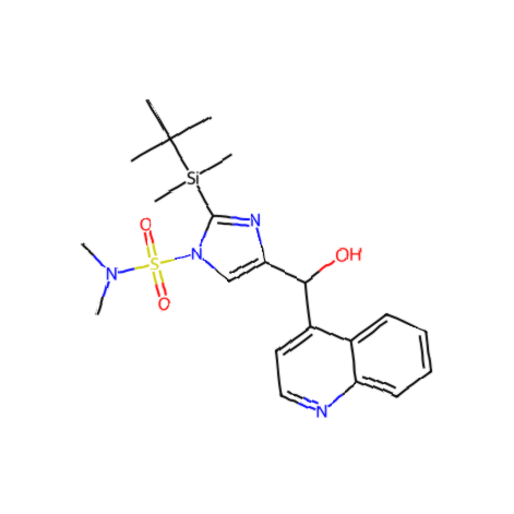 CN(C)S(=O)(=O)n1cc(C(O)c2ccnc3ccccc23)nc1[Si](C)(C)C(C)(C)C